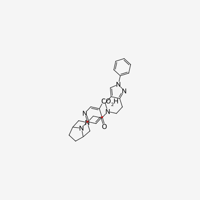 O=C(O)c1ccc(N2C3CCC2CN(CC(=O)N2CCc4nn(-c5ccccc5)cc4C2)C3)nc1